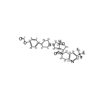 O=COc1ccc(C2CCN([C@@H]3C[C@H]4OCC[C@@]4(C(=O)N4CCc5ncc(C(F)(F)F)cc5C4)C3)CC2)cc1